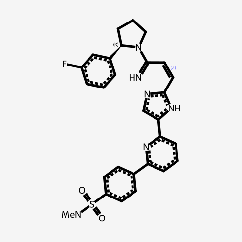 CNS(=O)(=O)c1ccc(-c2cccc(-c3cnc(/C=C\C(=N)N4CCC[C@@H]4c4cccc(F)c4)[nH]3)n2)cc1